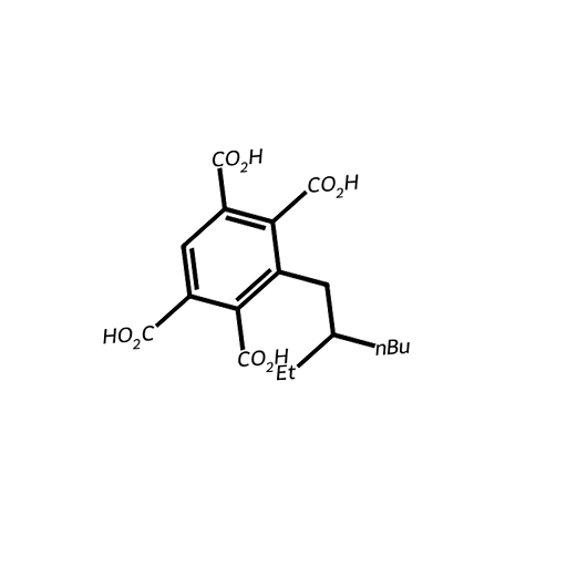 CCCCC(CC)Cc1c(C(=O)O)c(C(=O)O)cc(C(=O)O)c1C(=O)O